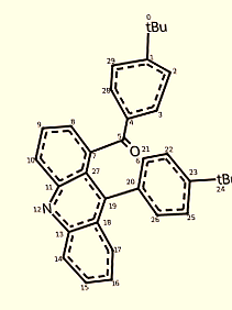 CC(C)(C)c1ccc(C(=O)c2cccc3nc4ccccc4c(-c4ccc(C(C)(C)C)cc4)c23)cc1